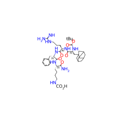 CC(C)(C)OC(=O)N[C@@H](CC12CC3CC(CC(C3)C1)C2)C(=O)N[C@H](CCCNC(=N)N)C(=O)N[C@@H](Cc1ccccc1)C(=O)N[C@@H](CCCCNC(=O)O)C(N)=O